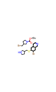 Brc1cc2cnccc2cc1SCC1CCNC1.CC(C)(C)OC(=O)N1CCC(CBr)C1